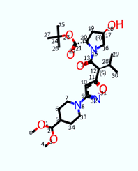 COC(OC)C1CCN(c2cc([C@@H](C(=O)N3C[C@H](O)C[C@H]3C(=O)OC(C)(C)C)C(C)C)on2)CC1